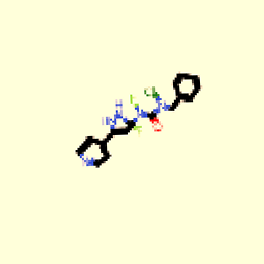 O=C(N(Cl)Cc1ccccc1)N(F)C1(F)C=C(c2ccncc2)NN1